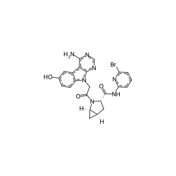 Nc1ncnc2c1c1cc(O)ccc1n2CC(=O)N1[C@@H]2C[C@@H]2C[C@H]1C(=O)Nc1cccc(Br)n1